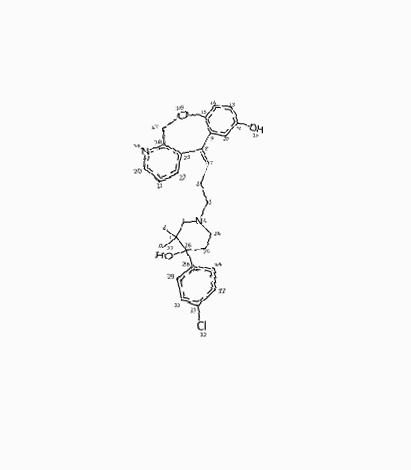 CC1(C)CN(CC/C=C2/c3cc(O)ccc3OCc3ncccc32)CCC1(O)c1ccc(Cl)cc1